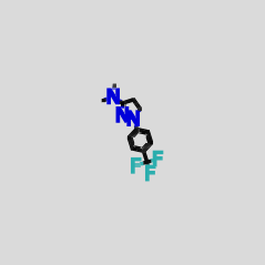 CN(C)C1=NN(c2ccc(C(F)(F)F)cc2)CC1